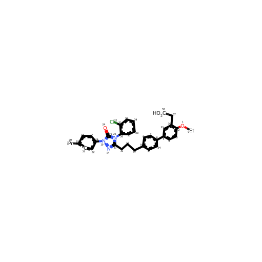 CCOc1ccc(-c2ccc(CCCc3nn(-c4ccc(C(C)C)cc4)c(=O)n3-c3ccccc3Cl)cc2)cc1CC(=O)O